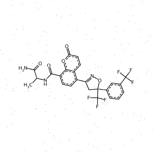 CC(NC(=O)c1ccc(C2=NOC(c3cccc(C(F)(F)F)c3)(C(F)(F)F)C2)c2ccc(=O)oc12)C(N)=O